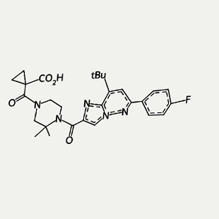 CC(C)(C)c1cc(-c2ccc(F)cc2)nn2cc(C(=O)N3CCN(C(=O)C4(C(=O)O)CC4)CC3(C)C)nc12